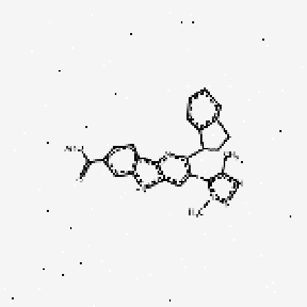 COC(=O)c1ccc2c(c1)[nH]c1cc(-c3c(C)nnn3C)c(C3CCc4ccccc43)nc12